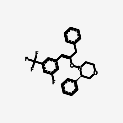 Fc1cc(C=C(Cc2ccccc2)ON2CCOC[C@@H]2c2ccccc2)cc(C(F)(F)F)c1